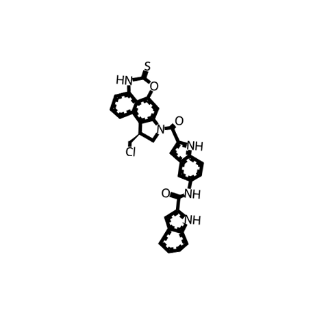 O=C(Nc1ccc2[nH]c(C(=O)N3C[C@@H](CCl)c4c3cc3c5c(cccc45)NC(=S)O3)cc2c1)c1cc2ccccc2[nH]1